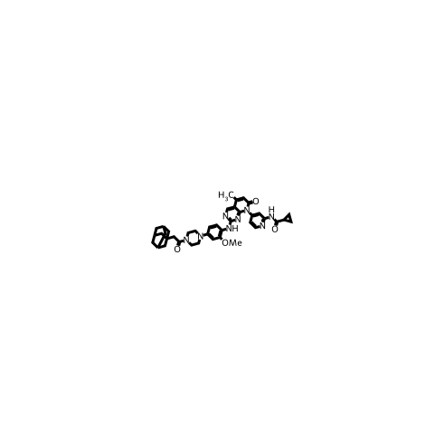 COc1cc(N2CCN(C(=O)CC34CC5CC(CC(C5)C3)C4)CC2)ccc1Nc1ncc2c(C)cc(=O)n(-c3ccnc(NC(=O)C4CC4)c3)c2n1